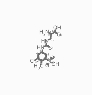 Cc1c(Cl)cc(NC(=S)NCC(N)C(=O)O)cc1S(=O)(=O)O